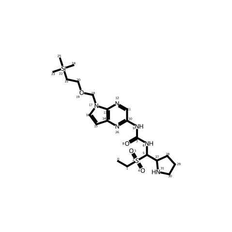 CCS(=O)(=O)C(NC(=O)Nc1cnc2c(ccn2COCC[Si](C)(C)C)n1)C1CCCN1